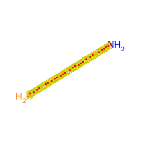 NSSSSSSSSSSSSSSSSSSSSSSSSSSSSSSSSSSSSSSSSSSSSSSSSSSSSSSSSSSSSSSSSSSSSSSSSS(P)(=S)=S